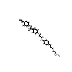 CCCCCCC1CCC(CCCOc2ccc(C(=O)Oc3ccc(C#N)c(F)c3)cc2)CC1